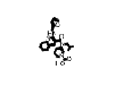 CC(C)CN(C(=O)c1cc2c(nc1NCc1ccco1)CCCC2)C1CCCN(C(=O)O)C1